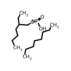 CCCCC(CC)CO[PH](=O)O.CCCCCCCC